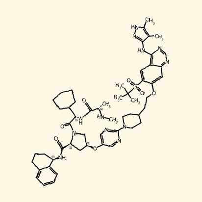 CN[C@@H](C)C(=O)N[C@H](C(=O)N1C[C@@H](Oc2cnc(N3CCC(CCOc4cc5ncnc(Nc6n[nH]c(C)c6C)c5cc4S(=O)(=O)C(C)(C)C)CC3)nc2)C[C@H]1C(=O)N[C@@H]1CCCc2ccccc21)C1CCCCC1